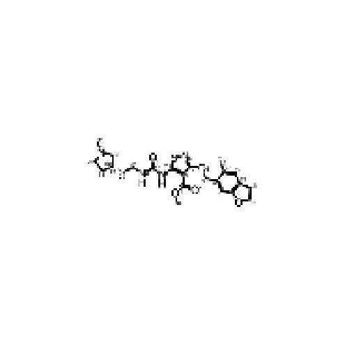 COC(=O)c1c(OCc2cc3c(cc2F)CCO3)nsc1NC(=O)NCC[C@@H]1CCN(C)C1